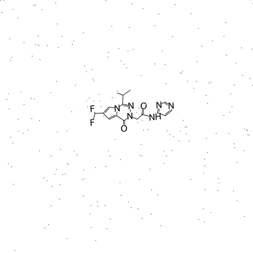 CC(C)c1nn(CC(=O)Nc2ccncn2)c(=O)c2cc(C(F)F)cn12